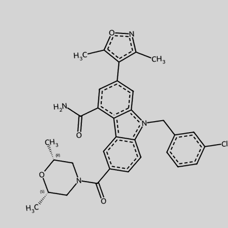 Cc1noc(C)c1-c1cc(C(N)=O)c2c3cc(C(=O)N4C[C@@H](C)O[C@@H](C)C4)ccc3n(Cc3cccc(Cl)c3)c2c1